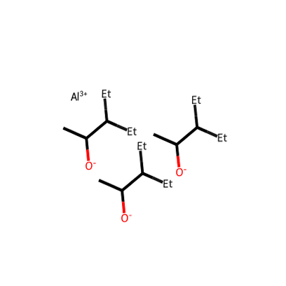 CCC(CC)C(C)[O-].CCC(CC)C(C)[O-].CCC(CC)C(C)[O-].[Al+3]